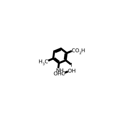 Cc1ccc(C(=O)O)c(I)c1N.O=CO